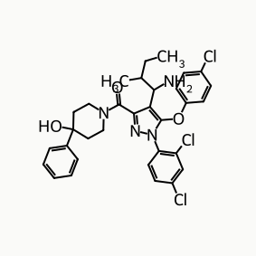 CCC(C)C(N)c1c(C(=O)N2CCC(O)(c3ccccc3)CC2)nn(-c2ccc(Cl)cc2Cl)c1Oc1ccc(Cl)cc1